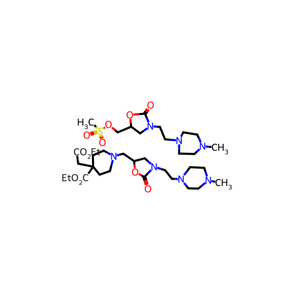 CCOC(=O)CC1(C(=O)OCC)CCN(CC2CN(CCN3CCN(C)CC3)C(=O)O2)CC1.CN1CCN(CCN2CC(COS(C)(=O)=O)OC2=O)CC1